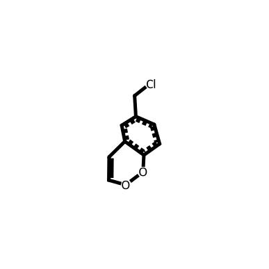 ClCc1ccc2c(c1)C=COO2